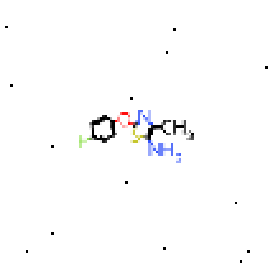 Cc1nc(Oc2ccc(F)cc2)sc1N